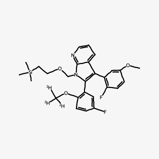 [2H]C([2H])([2H])Oc1ccc(F)cc1-c1c(-c2cc(OC)ccc2F)c2cccnc2n1COCC[Si](C)(C)C